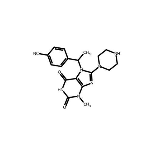 CC(c1ccc(C#N)cc1)n1c(N2CCNCC2)nc2c1c(=O)[nH]c(=O)n2C